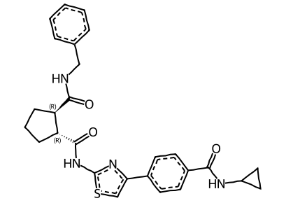 O=C(NC1CC1)c1ccc(-c2csc(NC(=O)[C@@H]3CCC[C@H]3C(=O)NCc3ccccc3)n2)cc1